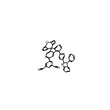 N#Cc1cc(C#N)cc(-c2ccc3c(c2)-c2c(-c4ccc(-c5nc6ccccc6n5-c5ccccc5)cc4)cccc2C32c3ccccc3Oc3ccccc32)c1